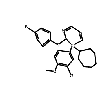 COc1ccc([N+]2(C3CCCCCC3)C=NC=NC2Sc2ccc(F)cc2)cc1Cl